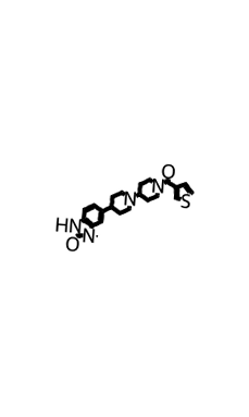 O=C1[N]c2cc(C3CCN(C4CCN(C(=O)c5ccsc5)CC4)CC3)ccc2N1